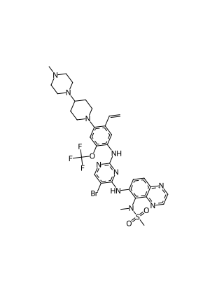 C=Cc1cc(Nc2ncc(Br)c(Nc3ccc4nccnc4c3N(C)S(C)(=O)=O)n2)c(OC(F)(F)F)cc1N1CCC(N2CCN(C)CC2)CC1